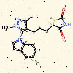 Cc1nn(C)c(-n2ccc3cc(Cl)ccc32)c1CCCC1SC(=O)NC1=O